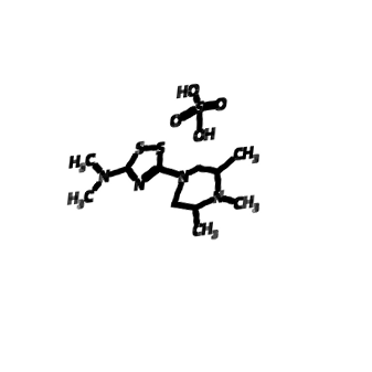 CC1CN(C2=NC(N(C)C)SS2)CC(C)N1C.O=S(=O)(O)O